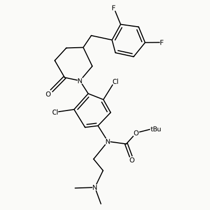 CN(C)CCN(C(=O)OC(C)(C)C)c1cc(Cl)c(N2CC(Cc3ccc(F)cc3F)CCC2=O)c(Cl)c1